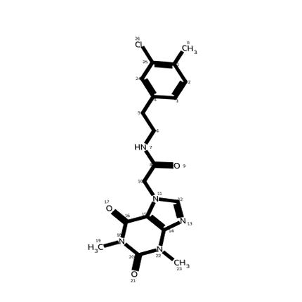 Cc1ccc(CCNC(=O)Cn2cnc3c2c(=O)n(C)c(=O)n3C)cc1Cl